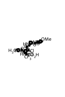 COc1ccc2oc(C(=O)Nc3ccc4[nH]c(C(=O)N5C[C@@H](CCl)c6c5cc(OC(=O)N5CCN(C)CC5)c5[nH]c(C(F)(F)F)c(C(=O)O)c65)cc4c3)cc2c1.Cl